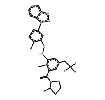 C=C(c1cc(CC(F)(F)F)cc(NSc2cc(-n3nnc4ccccc43)ccc2C)c1C)N1CCCC1C